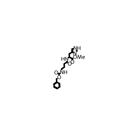 COC(=O)C(Cc1c[nH]cn1)NC(=O)CCCNC(=O)OCc1ccccc1